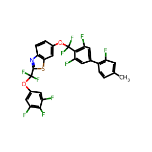 Cc1ccc(-c2cc(F)c(C(F)(F)Oc3ccc4nc(C(F)(F)Oc5cc(F)c(F)c(F)c5)sc4c3)c(F)c2)c(F)c1